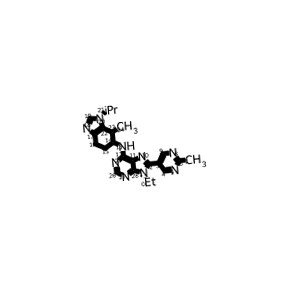 CCn1c(-c2cnc(C)nc2)nc2c(NC3CCc4ncn(C(C)C)c4C3C)ncnc21